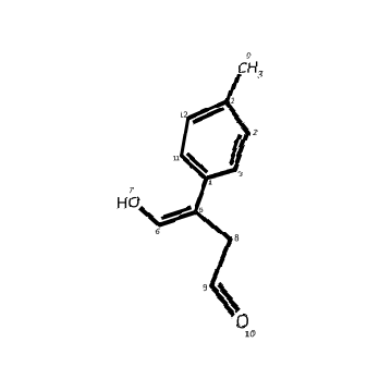 Cc1ccc(/C(=C\O)CC=O)cc1